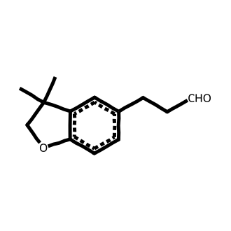 CC1(C)COc2ccc(CCC=O)cc21